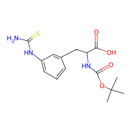 CC(C)(C)OC(=O)NC(Cc1cccc(NC(N)=S)c1)C(=O)O